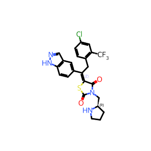 O=C1S/C(=C(/Cc2ccc(Cl)cc2C(F)(F)F)c2ccc3[nH]ncc3c2)C(=O)N1C[C@H]1CCCN1